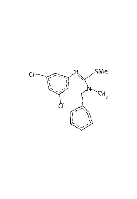 CSC(=Nc1cc(Cl)cc(Cl)c1)N(C)Cc1ccccc1